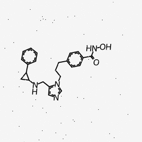 O=C(NO)c1ccc(CCCn2cncc2CNC2CC2c2ccccc2)cc1